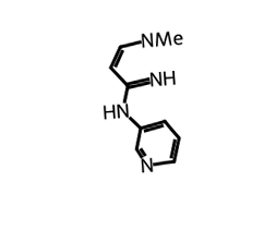 CN/C=C\C(=N)Nc1cccnc1